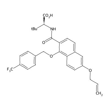 C=CCOc1ccc2c(OCc3ccc(C(F)(F)F)cc3)c(C(=O)N[C@H](C(=O)O)C(C)(C)C)ccc2c1